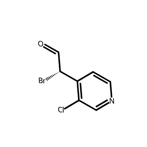 O=C[C@@H](Br)c1ccncc1Cl